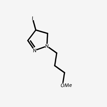 COCCCN1CC(I)C=N1